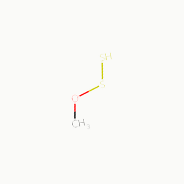 COSS